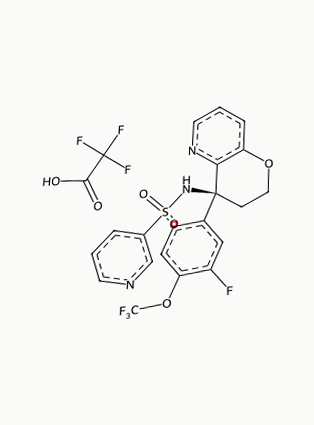 O=C(O)C(F)(F)F.O=S(=O)(N[C@]1(c2ccc(OC(F)(F)F)c(F)c2)CCOc2cccnc21)c1cccnc1